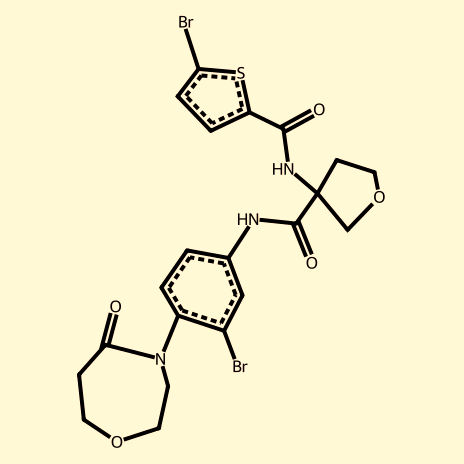 O=C(NC1(C(=O)Nc2ccc(N3CCOCCC3=O)c(Br)c2)CCOC1)c1ccc(Br)s1